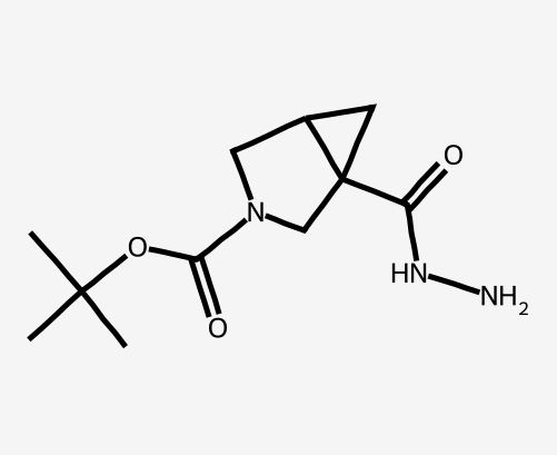 CC(C)(C)OC(=O)N1CC2CC2(C(=O)NN)C1